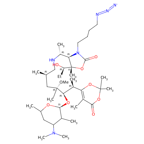 CC[C@@H](O)[C@@]1(C)OC(=O)N(CCCCN=[N+]=[N-])[C@@H]1[C@@H](C)NC[C@H](C)C[C@@](C)(OC)[C@H](O[C@@H]1OC(C)CC(N(C)C)C1C)[C@@H](C)C1=C(C)C(=O)OC(C)(C)O1